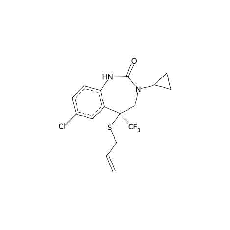 C=CCS[C@]1(C(F)(F)F)CN(C2CC2)C(=O)Nc2ccc(Cl)cc21